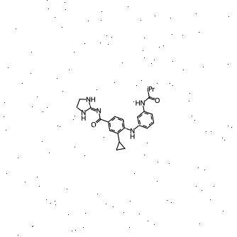 CC(C)C(=O)Nc1cccc(Nc2ccc(C(=O)N=C3NCCN3)cc2C2CC2)c1